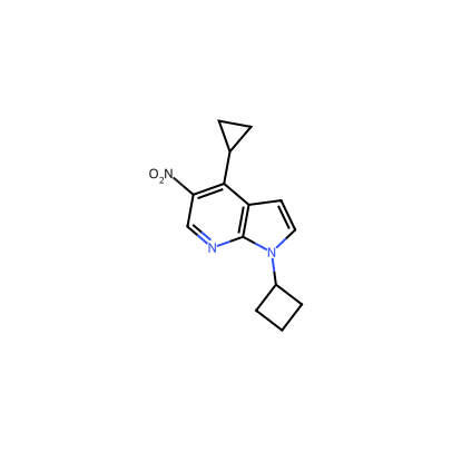 O=[N+]([O-])c1cnc2c(ccn2C2CCC2)c1C1CC1